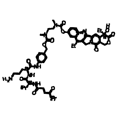 CCc1c2c(nc3ccc(OC(=O)N(C)CCN(C)C(=O)OCc4ccc(NC(=O)[C@H](CCCN)NC(=O)[C@@H](NC(=O)CCC(=O)C(C)C)C(C)C)cc4)cc13)-c1cc3c(c(=O)n1C2)COC(=O)[C@]3(O)CC